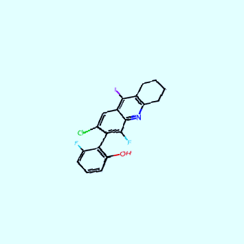 Oc1cccc(F)c1-c1c(Cl)cc2c(I)c3c(nc2c1F)CCCC3